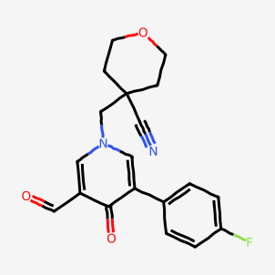 N#CC1(Cn2cc(C=O)c(=O)c(-c3ccc(F)cc3)c2)CCOCC1